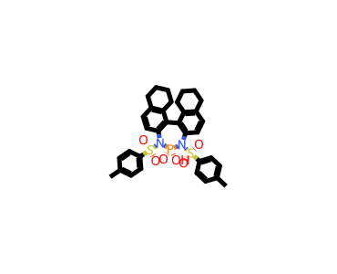 Cc1ccc(S(=O)(=O)N2c3ccc4c(c3-c3c(ccc5c3CCCC5)N(S(=O)(=O)c3ccc(C)cc3)P2(=O)O)CCCC4)cc1